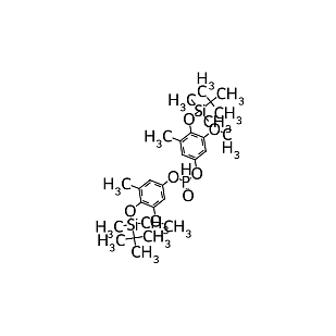 COc1cc(O[PH](=O)Oc2cc(C)c(O[Si](C)(C)C(C)(C)C)c(OC)c2)cc(C)c1O[Si](C)(C)C(C)(C)C